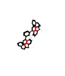 CC1(C)c2cc3c(cc2-c2c1ccc1ccccc21)N(c1c(-c2ccccc2)cccc1-c1ccccc1)c1cc2c(cc1O3)C(C)(C)c1ccc3ccccc3c1-2